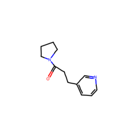 O=C(CCc1cccnc1)N1CCCC1